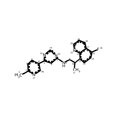 Cc1ccc(-c2cc(NCC(C)c3ccc(F)c4cccnc34)ncn2)cn1